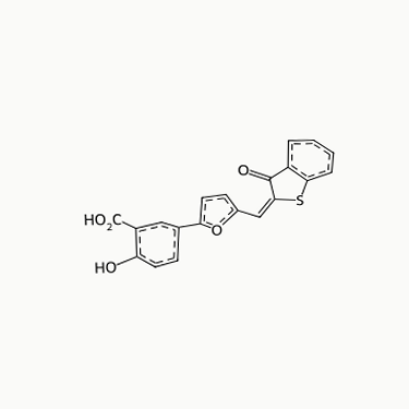 O=C(O)c1cc(-c2ccc(C=C3Sc4ccccc4C3=O)o2)ccc1O